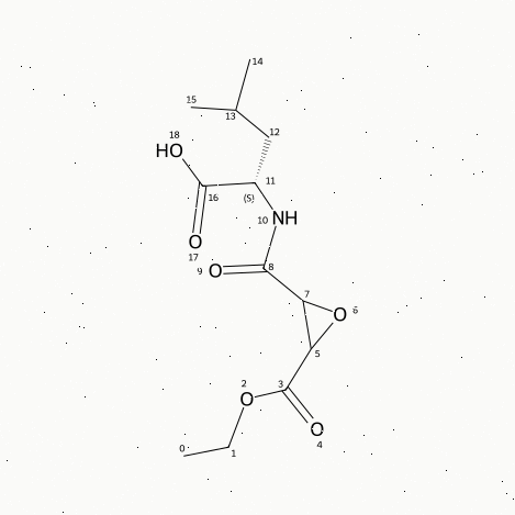 CCOC(=O)C1OC1C(=O)N[C@@H](CC(C)C)C(=O)O